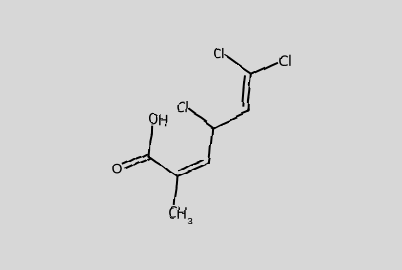 CC(=CC(Cl)C=C(Cl)Cl)C(=O)O